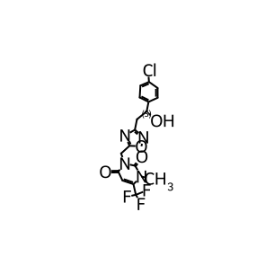 Cn1c(C(F)(F)F)cc(=O)n(Cc2nc(C[C@H](O)c3ccc(Cl)cc3)no2)c1=O